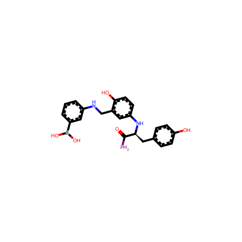 O=C(P)[C@H](Cc1ccc(O)cc1)Nc1ccc(O)c(CNc2cccc(B(O)O)c2)c1